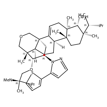 CN[C@@](C)(CO[C@H]1[C@H](n2nccc2-c2cccs2)C[C@@]23COC[C@]1(C)[C@@H]2CC[C@H]1C3=CC[C@@]2(C)[C@H](C(=O)O)[C@@](C)([C@H](C)C(C)C)CC[C@]12C)C(C)C